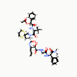 CCCC(NC(=O)[C@@H]1CC2(CN1C(=O)[C@@H](NC(=O)C(OC(C)=O)c1ccccc1)C(C)(C)C)SCCCS2)C(=O)C(=O)NCC(=O)NC(C(=O)N(C)C)c1ccccc1